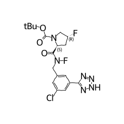 CC(C)(C)OC(=O)N1C[C@H](F)C[C@H]1C(=O)N(F)Cc1cc(Cl)cc(-c2nn[nH]n2)c1